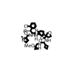 COC1(CNC(=O)[C@H](NC(=O)C2(c3ccc4nc([C@@H](NC(=O)c5ccnn5C)[C@H](c5ccccc5Cl)C(C)C)[nH]c4c3)CCOC2)C2CCC2)CC1